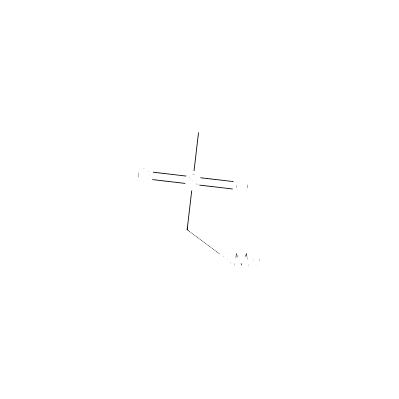 CSCS(C)(=O)=O